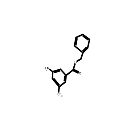 Nc1cc(C(=O)OCc2ccccc2)cc(C(F)(F)F)c1